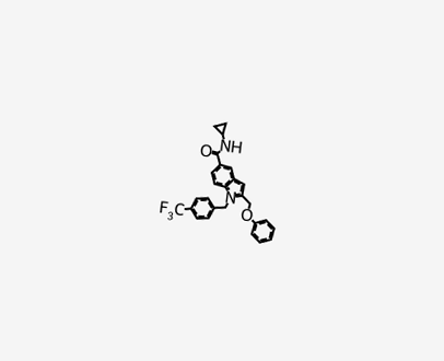 O=C(NC1CC1)c1ccc2c(c1)cc(COc1ccccc1)n2Cc1ccc(C(F)(F)F)cc1